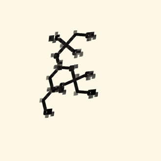 CCNC[SiH](OC(C)(C)CC)OC(C)(C)CC